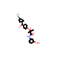 CC(C)(Oc1ccc(C(=O)c2ccc(Cl)cc2)cc1)C(=O)Nc1cccc(O)c1